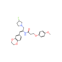 COc1ccc(OCCC(=O)N/C(=C\c2ccc3c(c2)OCCO3)CN2CC[C@@H](F)C2)cc1